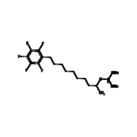 CO[SiH](OC)OC(C)CCCCCCCCc1c(F)c(F)c(F)c(F)c1F